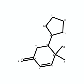 CC1(C)C=CC(=O)CC1C1CCCC1